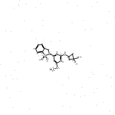 COc1cc(N2Cc3ccccc3S2(=O)=O)nc(OC2CC(F)(F)C2)n1